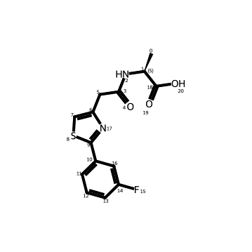 C[C@H](NC(=O)Cc1csc(-c2cccc(F)c2)n1)C(=O)O